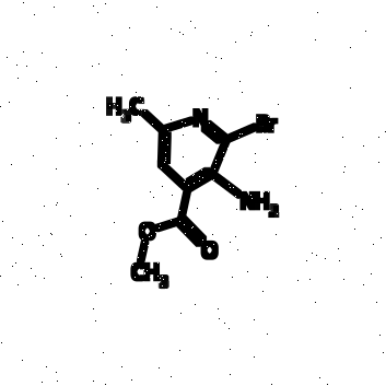 COC(=O)c1cc(C)nc(Br)c1N